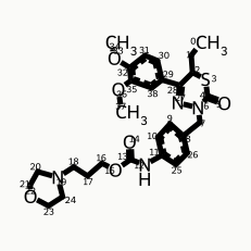 CCC1SC(=O)N(Cc2ccc(NC(=O)OCCCN3CCOCC3)cc2)N=C1c1ccc(OC)c(OC)c1